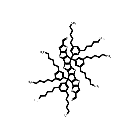 CCCCCCc1cc(CCCCCC)cc(C2(c3cc(CCCCCC)cc(CCCCCC)c3)c3c(sc4cc(C=O)sc34)-c3sc4c5c(sc4c32)-c2sc3cc(C=O)sc3c2C5(c2cc(CCCCCC)cc(CCCCCC)c2)c2cc(CCCCCC)cc(CCCCCC)c2)c1